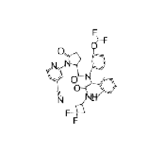 N#Cc1ccnc(N2C(=O)CC[C@H]2C(=O)N(c2cccc(OC(F)F)c2)C(C(=O)NC2CC(F)(F)C2)c2ccccc2Cl)c1